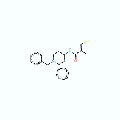 CC(CS)C(=O)NC1CCN(Cc2ccccc2)CC1.c1ccccc1